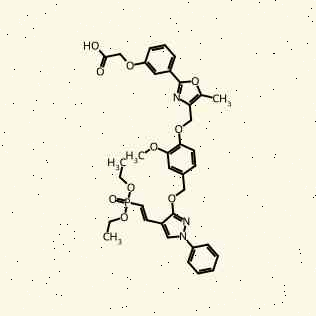 CCOP(=O)(/C=C/c1cn(-c2ccccc2)nc1OCc1ccc(OCc2nc(-c3cccc(OCC(=O)O)c3)oc2C)c(OC)c1)OCC